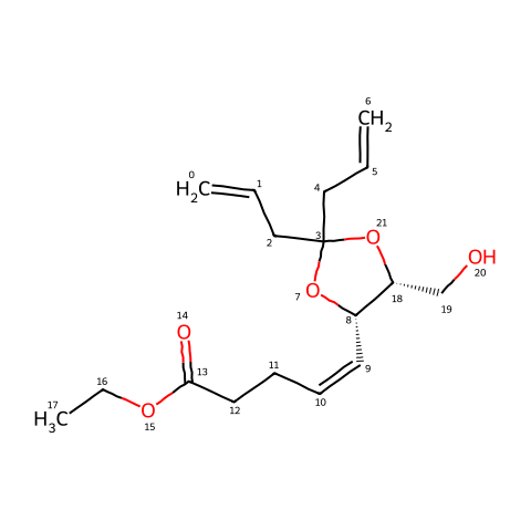 C=CCC1(CC=C)O[C@@H](/C=C\CCC(=O)OCC)[C@@H](CO)O1